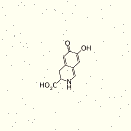 O=C1C=C2CC(C(=O)O)NC=C2C=C1O